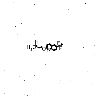 CNCCOc1ccc2cc(C(F)(F)F)ccc2n1